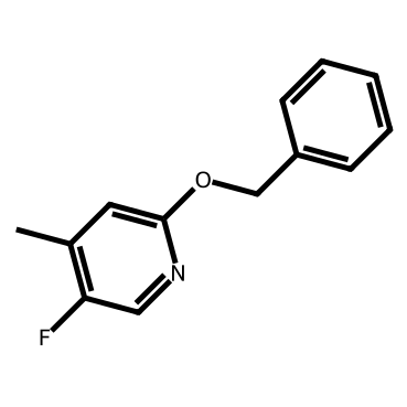 Cc1cc(OCc2ccccc2)ncc1F